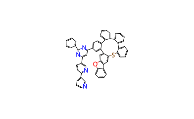 c1ccc(-c2nc(-c3ccc(-c4cccnc4)nc3)cc(-c3ccc4c(c3)-c3cc5oc6ccccc6c5cc3Sc3ccccc3-c3ccccc3-c3ccccc3-4)n2)cc1